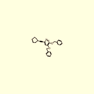 C(#CC1CCCCC1)c1cc(OCc2ccccc2)c(OCc2ccccc2)nn1